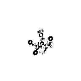 CS(=O)(=O)N1CCN(C(=O)O[C@@H]2C[C@@H](C(=O)N[C@@H](CCCCN)C(=O)c3nc4ccccc4o3)N(C(=O)[C@@H](CCc3ccccc3)NC(=O)OCc3ccccc3)C2)CC1